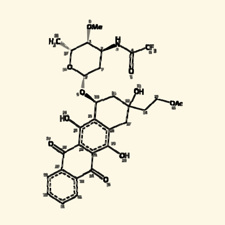 CO[C@@H]1[C@@H](NC(=O)C(F)(F)F)C[C@H](O[C@H]2CC(O)(CCOC(C)=O)Cc3c(O)c4c(c(O)c32)C(=O)c2ccccc2C4=O)O[C@@H]1C